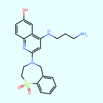 NCCCNc1cc(N2CCS(=O)(=O)c3ccccc3C2)nc2ccc(O)cc12